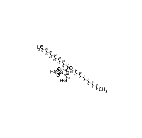 CCCCCCCCCCCCCCOC(CCCCCCCCCCCCC)C(COS(=O)(=O)O)OCCO